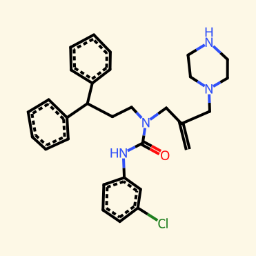 C=C(CN1CCNCC1)CN(CCC(c1ccccc1)c1ccccc1)C(=O)Nc1cccc(Cl)c1